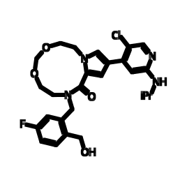 CC(C)Nc1cc(-c2cc3n(c2)CCOCOCCN(Cc2cc(F)ccc2CO)C3=O)c(Cl)cn1